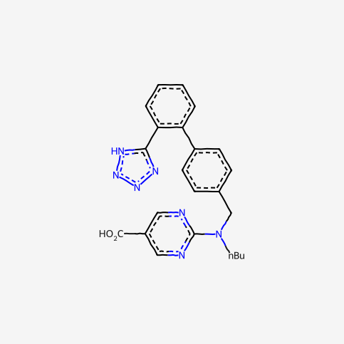 CCCCN(Cc1ccc(-c2ccccc2-c2nnn[nH]2)cc1)c1ncc(C(=O)O)cn1